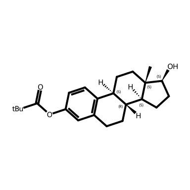 CC(C)(C)C(=O)Oc1ccc2c(c1)CC[C@@H]1[C@@H]2CC[C@]2(C)[C@@H](O)CC[C@@H]12